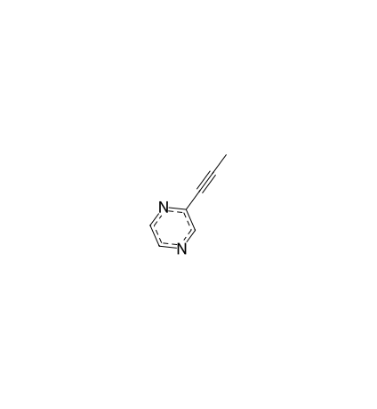 CC#Cc1cnccn1